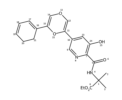 CCOC(=O)C(C)(C)NC(=O)c1ncc(C2=COC=C(C3=CC=CCC3)O2)cc1O